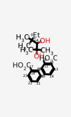 CCC(C)(C)C(O)C(C)(C)O.O=C(O)c1ccccc1.O=C(O)c1ccccc1